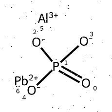 O=P([O-])([O-])[O-].[Al+3].[Pb+2]